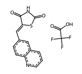 O=C(O)C(F)(F)F.O=C1NC(=O)C(=Cc2ccc3ncccc3c2)S1